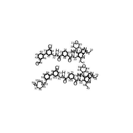 CCc1nc2c(cnn2CC)c(NC2CCOCC2)c1CNC(=O)c1cccc(C(=O)NCc2cc(Cl)cc(-c3cccc(C=O)c3)c2)c1.CCc1nc2c(cnn2CC)c(NC2CCOCC2)c1CNC(=O)c1cccc(C(=O)NCc2cc(Cl)cc(-c3cccc(CN4CCCN(C)CC4)c3)c2)c1